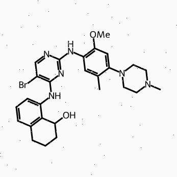 COc1cc(N2CCN(C)CC2)c(C)cc1Nc1ncc(Br)c(Nc2cccc3c2C(O)CCC3)n1